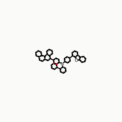 c1ccc(-c2ccccc2N(c2ccc(-c3cc4ccc5ccccc5c4c4ccccc34)cc2)c2ccc(-c3cccc4c3oc3ccccc34)cc2)cc1